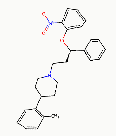 Cc1[c]cccc1C1CCN(CC[C@@H](Oc2ccccc2[N+](=O)[O-])c2ccccc2)CC1